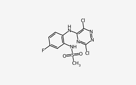 CS(=O)(=O)Nc1cc(F)ccc1Nc1nc(Cl)nnc1Cl